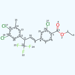 CCOC(=O)c1ccc(/C=C/C(c2cc(C)c(Cl)c(Cl)c2)C(F)(F)F)cc1Cl